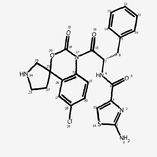 Nc1nc(C(=O)N[C@@H](Cc2ccccc2)C(=O)N2C(=O)OC3(CCNC3)c3cc(Cl)ccc32)cs1